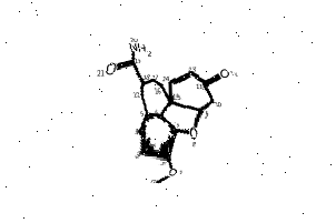 COc1ccc2c3c1OC1CC(=O)C=CC31CCC(C(N)=O)C2